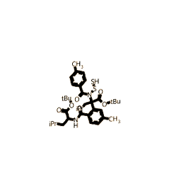 Cc1ccc(C(=O)N(SS)C(CC(C)C)(C(=O)OC(C)(C)C)c2cc(C)ccc2C(=O)NC(CC(C)C)C(=O)OC(C)(C)C)cc1